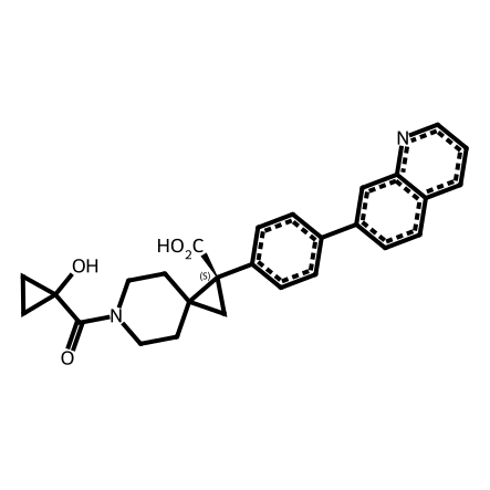 O=C(N1CCC2(CC1)C[C@@]2(C(=O)O)c1ccc(-c2ccc3cccnc3c2)cc1)C1(O)CC1